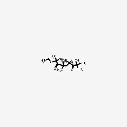 CC(C)(C)C(=O)C(C)(N)CC(C)(C)C(=O)C(C)(N)OCN